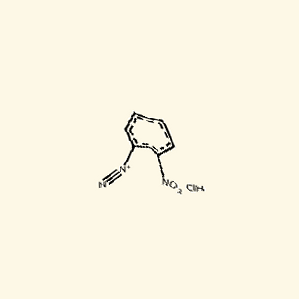 Cl.N#[N+]c1ccccc1[N+](=O)[O-]